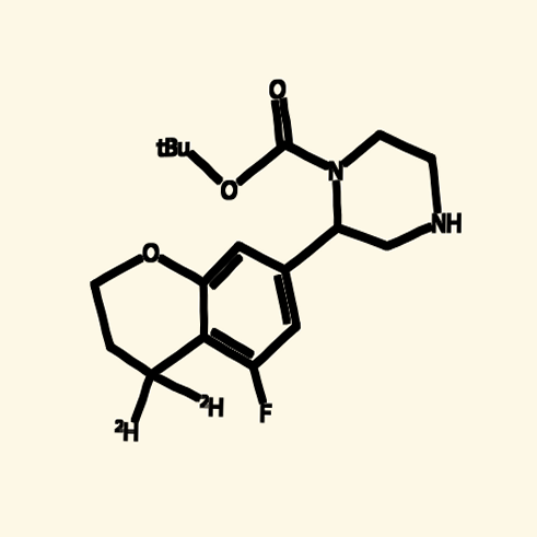 [2H]C1([2H])CCOc2cc(C3CNCCN3C(=O)OC(C)(C)C)cc(F)c21